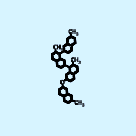 Cc1ccc2ccc(Oc3ccc4ccc(C)c(-c5ccc6ccc(C)c(-c7ccc8ccc(C)cc8c7)c6c5)c4c3)cc2c1